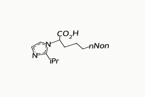 CCCCCCCCCCCCC(C(=O)O)n1ccnc1C(C)C